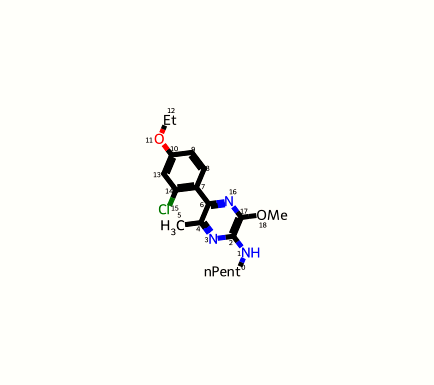 CCCCCNc1nc(C)c(-c2ccc(OCC)cc2Cl)nc1OC